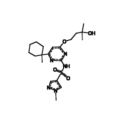 Cn1cc(S(=O)(=O)Nc2nc(OCCC(C)(C)O)cc(C3(C)CCCCC3)n2)cn1